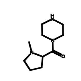 CN1CCCC1C(=O)N1CCNCC1